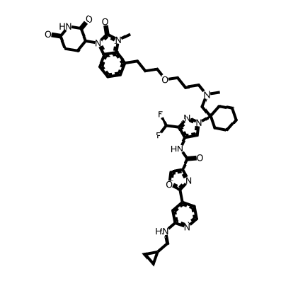 CN(CCCOCCCc1cccc2c1n(C)c(=O)n2C1CCC(=O)NC1=O)CC1(n2cc(NC(=O)c3coc(-c4ccnc(NCC5CC5)c4)n3)c(C(F)F)n2)CCCCC1